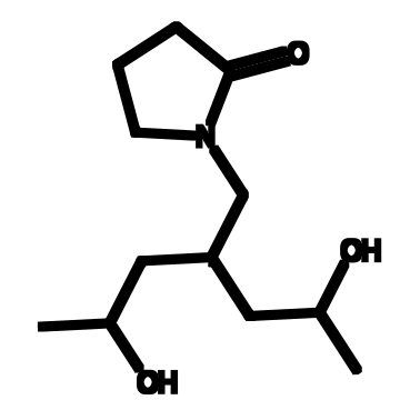 CC(O)C[C](CC(C)O)CN1CCCC1=O